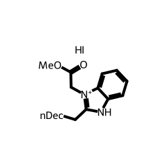 CCCCCCCCCCCc1[nH]c2ccccc2[n+]1CC(=O)OC.I